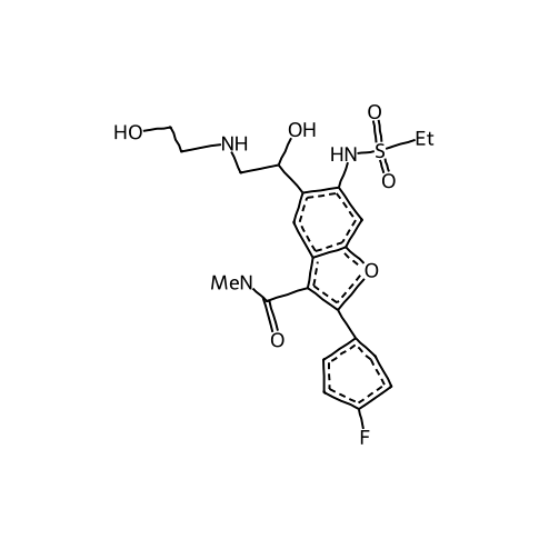 CCS(=O)(=O)Nc1cc2oc(-c3ccc(F)cc3)c(C(=O)NC)c2cc1C(O)CNCCO